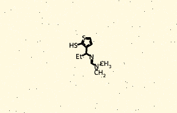 C=[N+](C)C=NC(CC)c1ccsc1S